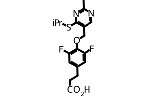 Cc1ncc(COc2c(F)cc(CCC(=O)O)cc2F)c(SC(C)C)n1